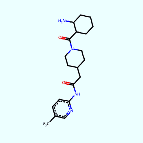 NC1CCCCC1C(=O)N1CCC(CC(=O)Nc2ccc(C(F)(F)F)cn2)CC1